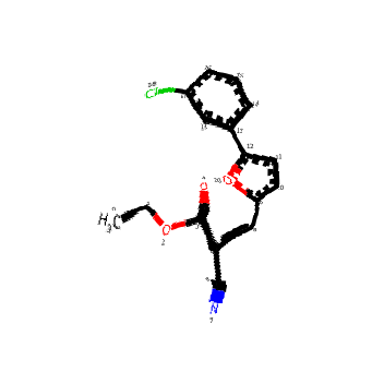 CCOC(=O)C(C#N)=Cc1ccc(-c2cccc(Cl)c2)o1